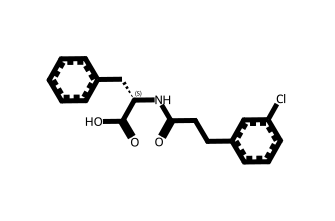 O=C(CCc1cccc(Cl)c1)N[C@@H](Cc1ccccc1)C(=O)O